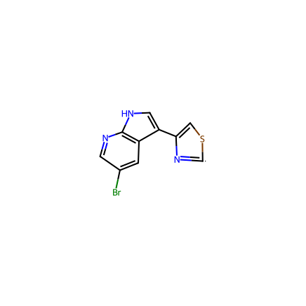 Brc1cnc2[nH]cc(-c3cs[c]n3)c2c1